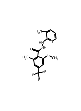 COc1cc(C(F)(F)F)cc(C)c1C(=O)NNc1ncccc1N